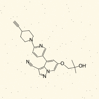 C#CC1CCN(c2ccc(-c3cc(OCC(C)(C)O)cn4ncc(C#N)c34)cn2)CC1